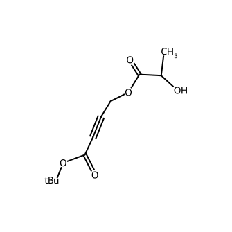 CC(O)C(=O)OCC#CC(=O)OC(C)(C)C